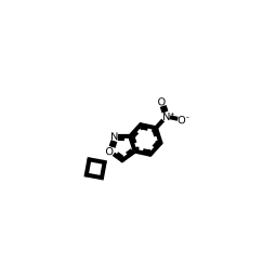 C1CCC1.O=[N+]([O-])c1ccc2conc2c1